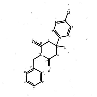 CC1(c2ccc(Cl)nc2)CC(=O)N(Cc2ccccc2)C(=O)C1